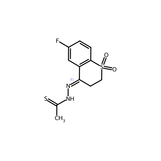 CC(=S)N/N=C1\CCS(=O)(=O)c2ccc(F)cc21